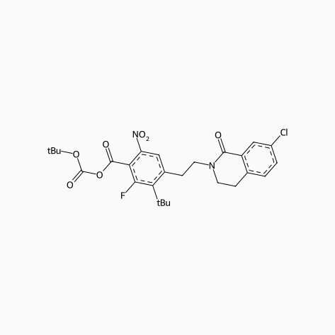 CC(C)(C)OC(=O)OC(=O)c1c([N+](=O)[O-])cc(CCN2CCc3ccc(Cl)cc3C2=O)c(C(C)(C)C)c1F